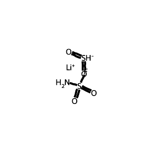 NS(=O)(=O)F.O=[SH-]=O.[Li+]